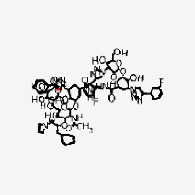 CC(=O)NC1C(O[C@@H](CC2CCCCC2)C(=O)N2CCC2)[C@@H](O)C(CO)O[C@H]1O[C@@H]1CC(C(=O)NCCNC(=O)C2CC(n3cc(-c4cccc(F)c4)nn3)C(O)[C@H](O[C@@H]3OC(CO)[C@H](O)C(n4cc(-c5cccc(F)c5)nn4)C3O)C2)CC(n2cc(-c3ccccc3)nn2)C1O[C@@H]1OC(C)[C@@H](O)C(O)C1O